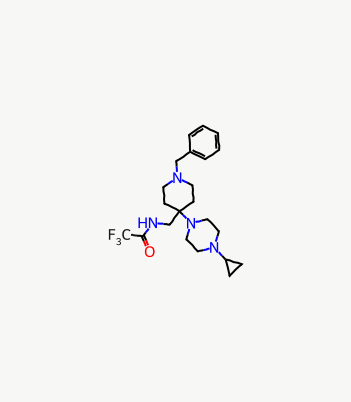 O=C(NCC1(N2CCN(C3CC3)CC2)CCN(Cc2ccccc2)CC1)C(F)(F)F